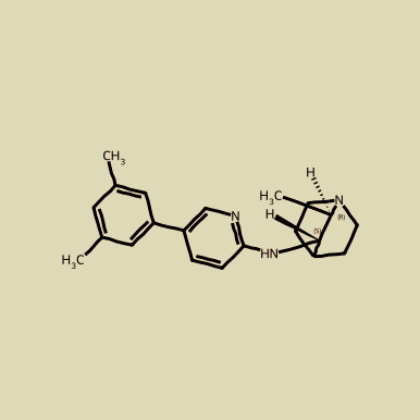 Cc1cc(C)cc(-c2ccc(N[C@H]3C4CCN(CC4)[C@@H]3C)nc2)c1